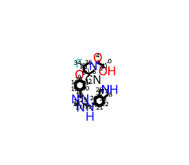 C[C@H](O)C(=O)N1CC[C@H](Oc2ccc(-c3ncnc(Nc4ccc5c(c4)CNC5)n3)cc2C#N)[C@@H](F)C1